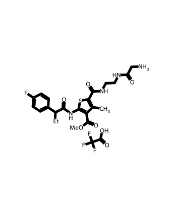 CCC(C(=O)Nc1sc(C(=O)NCCNC(=O)CN)c(C)c1C(=O)OC)c1ccc(F)cc1.O=C(O)C(F)(F)F